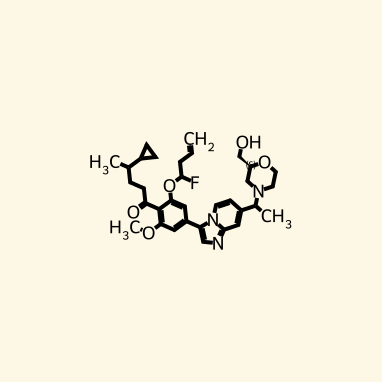 C=CCC(F)Oc1cc(-c2cnc3cc(C(C)N4CCO[C@H](CO)C4)ccn23)cc(OC)c1C(=O)CCC(C)C1CC1